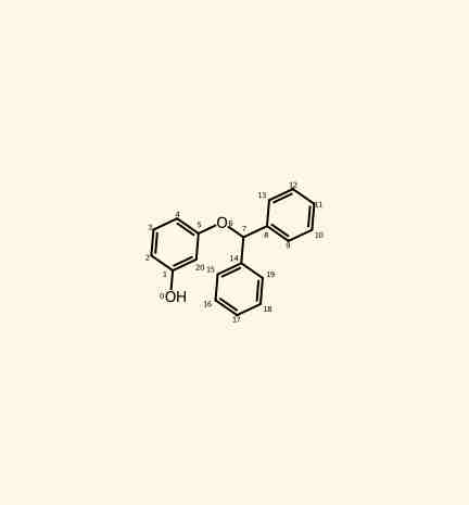 Oc1cccc(OC(c2ccccc2)c2ccccc2)c1